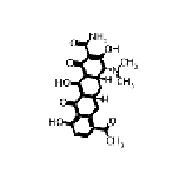 CC(=O)c1ccc(O)c2c1C[C@H]1C[C@@H]3C(C(=O)C(C(N)=O)=C(O)[C@@H]3N(C)C)C(O)=C1C2=O